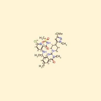 COc1cc(C2CCN(c3nc4c([C@@H](C)Nc5ccc(Cl)nc5C(=O)NS(C)(=O)=O)cc(C)cc4c(=O)n3C)CC2)n(C)n1